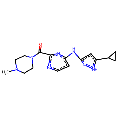 CN1CCN(C(=O)c2nccc(Nc3cc(C4CC4)[nH]n3)n2)CC1